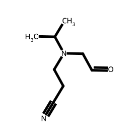 CC(C)N(CC=O)CCC#N